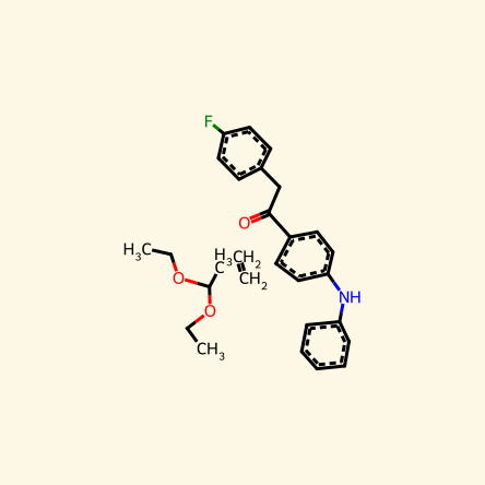 C=C.CCOC(C)OCC.O=C(Cc1ccc(F)cc1)c1ccc(Nc2ccccc2)cc1